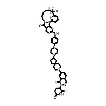 C[C@@]1(O)CC/C=C\Cn2c(=O)c3cnc(Nc4ccc(N5CCN(C6CCC7(CCN(c8ccc9cnn(C%10CCC(=O)NC%10=O)c(=O)c9c8)CC7)C6)CC5)cc4)nc3n2-c2cccc1n2